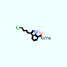 COC(=O)c1cccc2c(CCCCCl)c[nH]c12